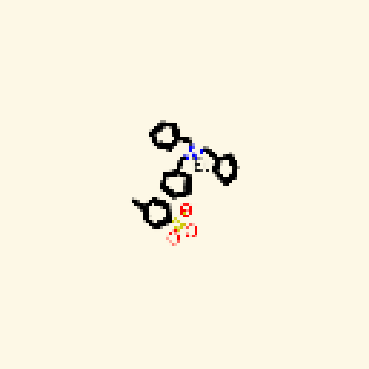 CC[N+](Cc1ccccc1)(Cc1ccccc1)Cc1ccccc1.Cc1ccc(S(=O)(=O)[O-])cc1